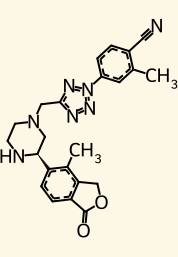 Cc1cc(-n2nnc(CN3CCN[C@H](c4ccc5c(c4C)COC5=O)C3)n2)ccc1C#N